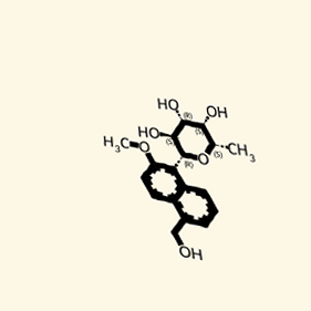 COc1ccc2c(CO)cccc2c1[C@H]1O[C@@H](C)[C@@H](O)[C@@H](O)[C@@H]1O